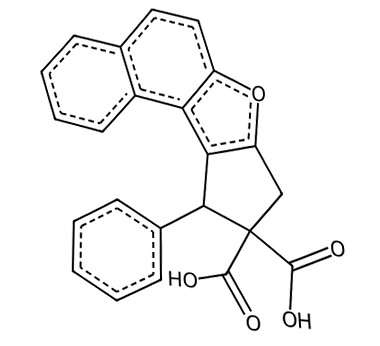 O=C(O)C1(C(=O)O)Cc2oc3ccc4ccccc4c3c2C1c1ccccc1